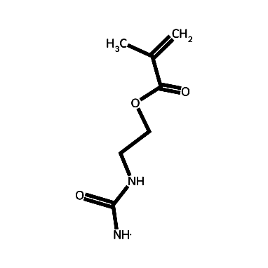 C=C(C)C(=O)OCCNC([NH])=O